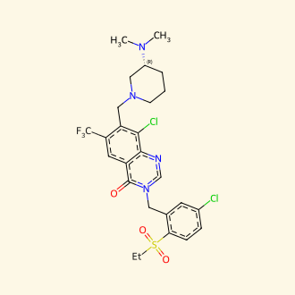 CCS(=O)(=O)c1ccc(Cl)cc1Cn1cnc2c(Cl)c(CN3CCC[C@@H](N(C)C)C3)c(C(F)(F)F)cc2c1=O